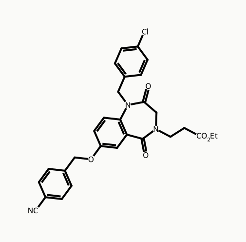 CCOC(=O)CCN1CC(=O)N(Cc2ccc(Cl)cc2)c2ccc(OCc3ccc(C#N)cc3)cc2C1=O